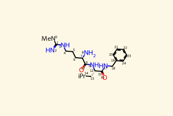 CNC(=N)NCCC[C@@H](N)C(=O)N[C@@H](CC(C)C)C(=O)NCc1ccccc1